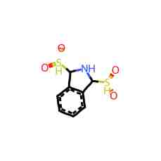 O=[SH](=O)C1NC([SH](=O)=O)c2ccccc21